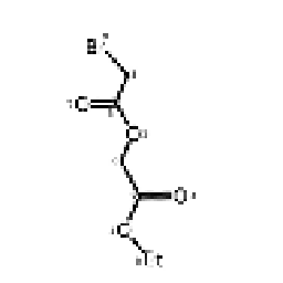 CCOC(=O)COC(=O)CBr